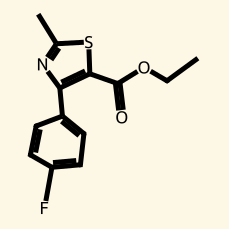 CCOC(=O)c1sc(C)nc1-c1ccc(F)cc1